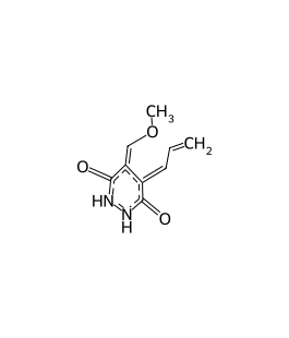 C=C/C=c1/c(=O)[nH][nH]c(=O)/c1=C/OC